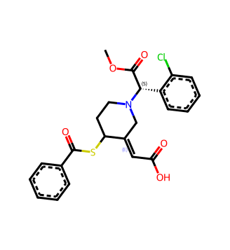 COC(=O)[C@H](c1ccccc1Cl)N1CCC(SC(=O)c2ccccc2)/C(=C/C(=O)O)C1